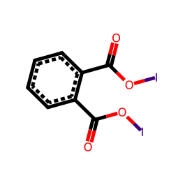 O=C(OI)c1ccccc1C(=O)OI